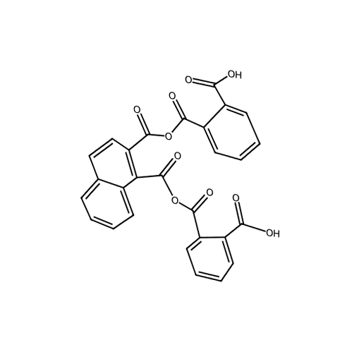 O=C(O)c1ccccc1C(=O)OC(=O)c1ccc2ccccc2c1C(=O)OC(=O)c1ccccc1C(=O)O